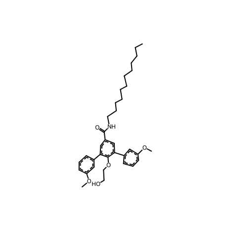 CCCCCCCCCCCCNC(=O)c1cc(-c2cccc(OC)c2)c(OCCO)c(-c2cccc(OC)c2)c1